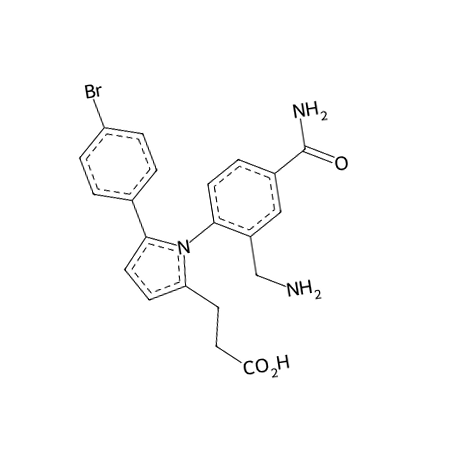 NCc1cc(C(N)=O)ccc1-n1c(CCC(=O)O)ccc1-c1ccc(Br)cc1